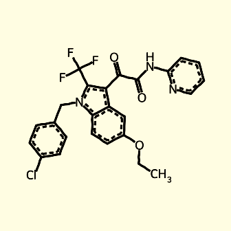 CCOc1ccc2c(c1)c(C(=O)C(=O)Nc1ccccn1)c(C(F)(F)F)n2Cc1ccc(Cl)cc1